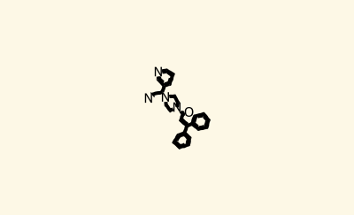 N#CC(c1cccnc1)N1CCN(C(=O)C=C(c2ccccc2)c2ccccc2)CC1